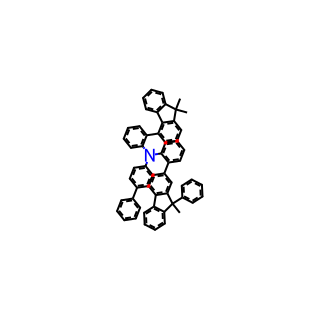 CC1(C)c2ccccc2-c2c(-c3ccccc3N(c3ccc(-c4ccccc4)cc3)c3ccccc3-c3ccc4c(c3)C(C)(c3ccccc3)c3ccccc3-4)cccc21